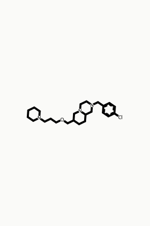 Clc1ccc(CN2CCN3CC(COCCCN4CCCCC4)CCC3C2)cc1